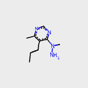 CCCc1c(C)ncnc1N(C)N